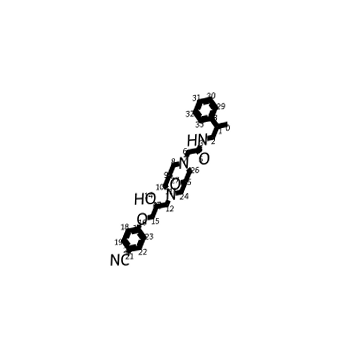 CC(CNC(=O)CN1CC2CN(C[C@H](O)COc3ccc(C#N)cc3)CC(C1)O2)c1ccccc1